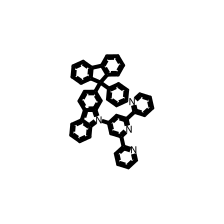 c1ccc(C2(c3ccc4c5ccccc5n(-c5cc(-c6ccccn6)nc(-c6ccccn6)c5)c4c3)c3ccccc3-c3ccccc32)cc1